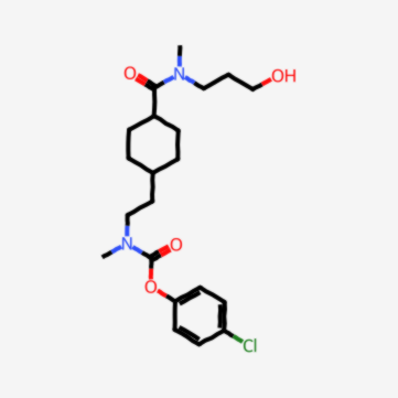 CN(CCC1CCC(C(=O)N(C)CCCO)CC1)C(=O)Oc1ccc(Cl)cc1